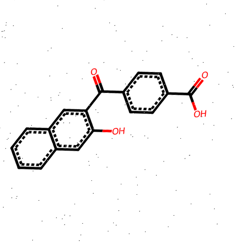 O=C(O)c1ccc(C(=O)c2cc3ccccc3cc2O)cc1